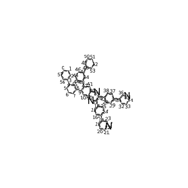 c1ccc(-c2cccc(-c3cc4nc(-c5ccc(-c6cccnc6)cc5)c(-c5ccc(-c6cccnc6)cc5)nc4cc3-c3cccc(-c4ccccc4)c3)c2)cc1